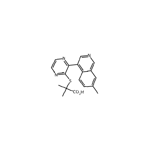 Cc1ccc2c(-c3nccnc3SC(C)(C)C(=O)O)cncc2c1